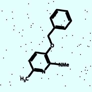 CNc1nc(C)ccc1OCc1ccccc1